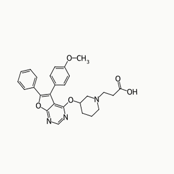 COc1ccc(-c2c(-c3ccccc3)oc3ncnc(OC4CCCN(CCC(=O)O)C4)c23)cc1